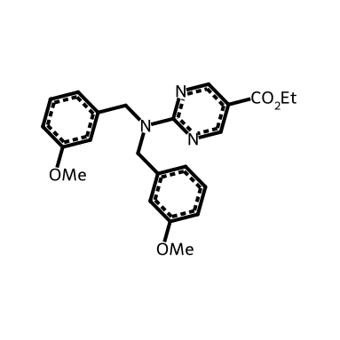 CCOC(=O)c1cnc(N(Cc2cccc(OC)c2)Cc2cccc(OC)c2)nc1